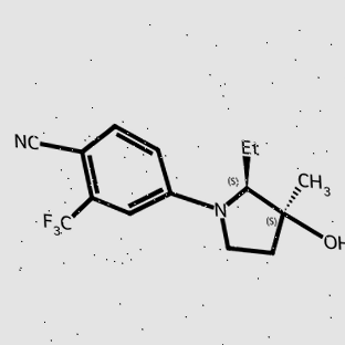 CC[C@@H]1N(c2ccc(C#N)c(C(F)(F)F)c2)CC[C@]1(C)O